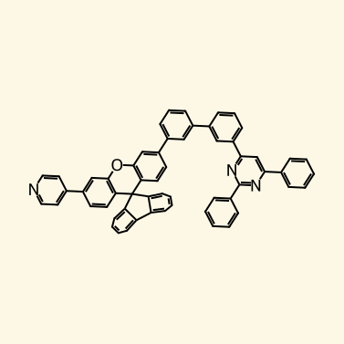 c1ccc(-c2cc(-c3cccc(-c4cccc(-c5ccc6c(c5)Oc5cc(-c7ccncc7)ccc5C65c6ccccc6-c6ccccc65)c4)c3)nc(-c3ccccc3)n2)cc1